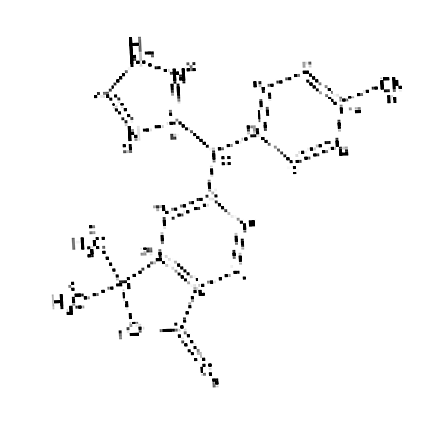 CC1(C)OC(=O)c2ccc(C(c3ccc(C#N)cc3)c3nc[nH]n3)cc21